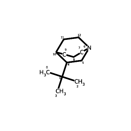 CC(C)(C)C1CN2CCCC1CC2